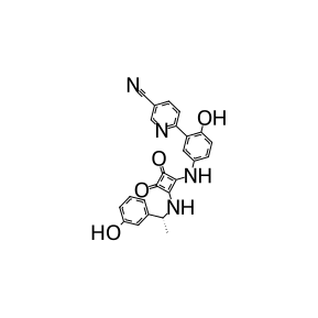 C[C@@H](Nc1c(Nc2ccc(O)c(-c3ccc(C#N)cn3)c2)c(=O)c1=O)c1cccc(O)c1